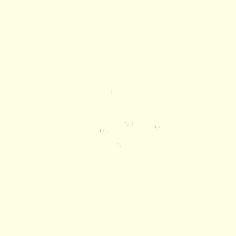 COc1cccc(F)c1S(=O)(=O)Nc1noc2cccc(OC)c12